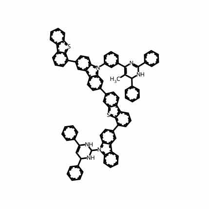 CC1=C(c2cccc(-n3c4ccc(-c5cccc6c5sc5ccccc56)cc4c4ccc(-c5ccc6c(c5)sc5c(-c7ccc8c(c7)c7ccccc7n8C7NC(c8ccccc8)=CC(c8ccccc8)N7)cccc56)cc43)c2)N=C(c2ccccc2)NC1c1ccccc1